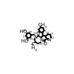 Cc1ccc(-c2c3n(c(=O)c4ncccc24)CCC(C)CN(Cc2cc(O)cc(O)c2)C3=O)cc1